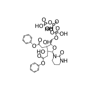 O=C(C[C@@]1(O)[C@@H](COP(=O)(O)OP(=O)(O)OP(=O)(O)O)O[C@@H](N2CCCNC2=O)[C@@]1(O)CC(=O)Oc1ccccc1)Oc1ccccc1